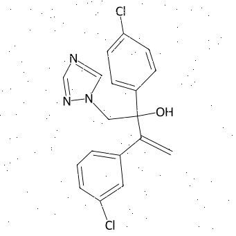 C=C(c1cccc(Cl)c1)C(O)(Cn1cncn1)c1ccc(Cl)cc1